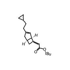 CC(C)(C)OC(=O)C=C1C[C@H]2CC(CCC3CC3)=C[C@@H]12